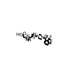 O=C(O)Cn1nnc(-c2cnc(N3CCN(C(=O)c4cccc(F)c4C(F)(F)F)CC3)s2)n1